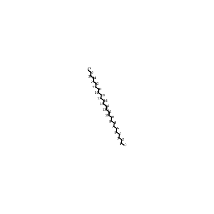 CCCCCCCCCCCC=C/[C]=C/CCCCCCCCCCCCC